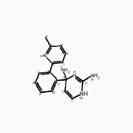 Cc1cccc(-c2ccccc2C2(N)C=CNC(N)=N2)n1